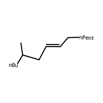 [CH2]CCCCC/C=C/CC(C)CCC[CH2]